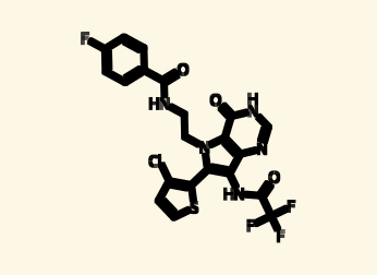 O=C(NCCn1c(-c2sccc2Cl)c(NC(=O)C(F)(F)F)c2nc[nH]c(=O)c21)c1ccc(F)cc1